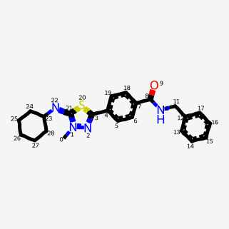 Cn1nc(-c2ccc(C(=O)NCc3ccccc3)cc2)s/c1=N/C1CCCCC1